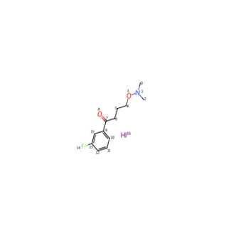 CN(C)OCCCC(=O)c1cccc(F)c1.I